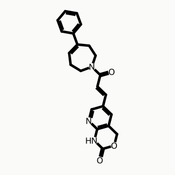 O=C1Nc2ncc(/C=C/C(=O)N3CCC=C(c4ccccc4)CC3)cc2CO1